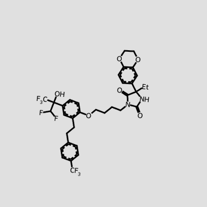 CCC1(c2ccc3c(c2)OCCO3)NC(=O)N(CCCCOc2ccc(C(O)(C(F)F)C(F)(F)F)cc2CCc2ccc(C(F)(F)F)cc2)C1=O